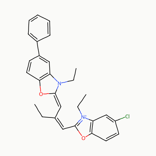 CCC(=Cc1oc2ccc(Cl)cc2[n+]1CC)C=C1Oc2ccc(-c3ccccc3)cc2N1CC